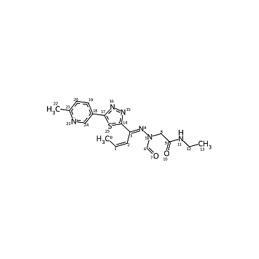 C/C=C\C(=N/N(C=O)CC(=O)NCC)c1nnc(-c2ccc(C)nc2)s1